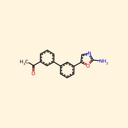 CC(=O)c1cccc(-c2cccc(-c3cnc(N)o3)c2)c1